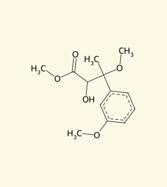 COC(=O)C(O)C(C)(OC)c1cccc(OC)c1